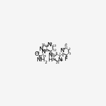 Cc1ccc(F)c(-c2cc(Nc3ccnc4cnn(CC(N)=O)c34)ccn2)n1